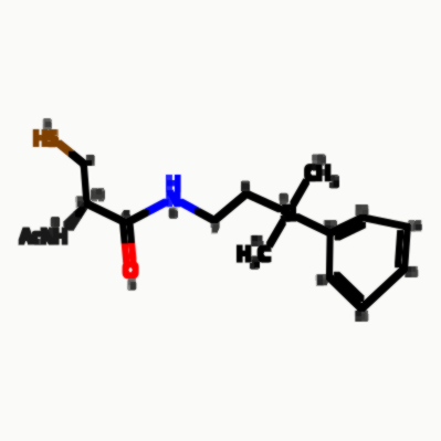 CC(=O)N[C@@H](CS)C(=O)NCC[Si](C)(C)c1ccccc1